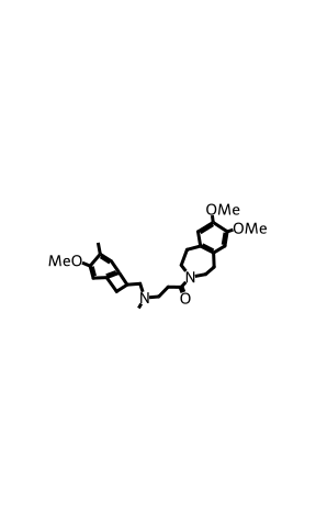 COc1cc2c(cc1C)C(CN(C)CCC(=O)N1CCc3cc(OC)c(OC)cc3CC1)C2